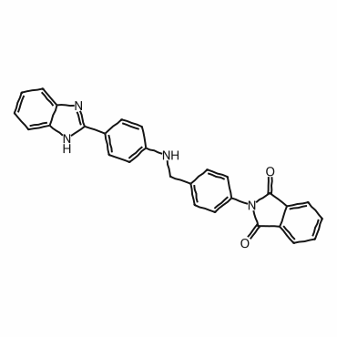 O=C1c2ccccc2C(=O)N1c1ccc(CNc2ccc(-c3nc4ccccc4[nH]3)cc2)cc1